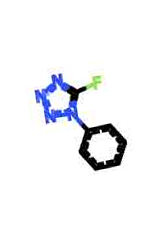 Fc1nnnn1-c1ccccc1